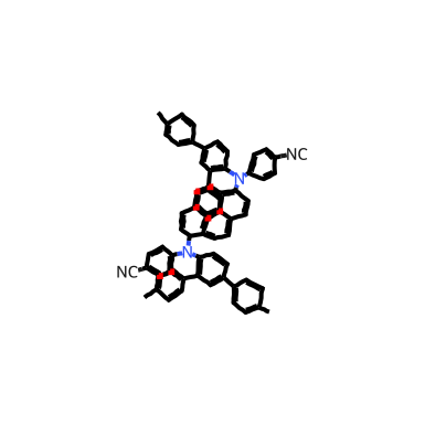 [C-]#[N+]c1ccc(N(C2=C3C=CC4=C5C(=CC=C(C=C2)C35)C(N(c2ccc(C#N)cc2)c2ccc(-c3ccc(C)cc3)cc2-c2ccc(C)cc2)C=C4)c2ccc(-c3ccc(C)cc3)cc2-c2ccc(C)cc2)cc1